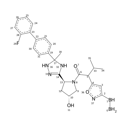 BBc1cc(C(C(=O)N2C[C@H](O)C[C@H]2C2=NNC(C)(c3ccc(-c4ccccc4F)cc3)N2)C(C)C)on1